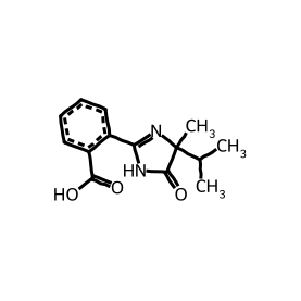 CC(C)C1(C)N=C(c2ccccc2C(=O)O)NC1=O